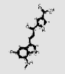 CNc1cc(F)cc2c(C=CC(=O)c3cc(C(=O)O)c[nH]3)c[nH]c12